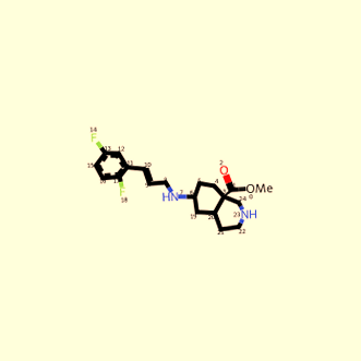 COC(=O)[C@]12CCC(NCC=Cc3cc(F)ccc3F)CC1CCNC2